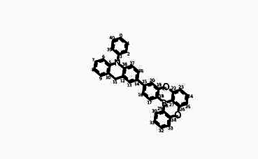 c1ccc(N2c3ccccc3Cc3cc(-c4ccc5c(c4)Oc4cccc6c4B5c4ccccc4O6)ccc32)cc1